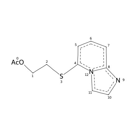 CC(=O)OCCSc1cccc2nccn12